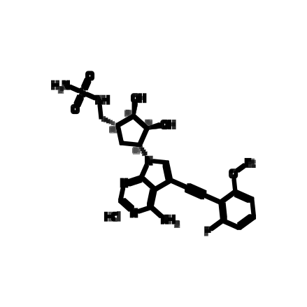 CCOc1cccc(F)c1C#Cc1cn([C@@H]2C[C@H](CNS(N)(=O)=O)[C@@H](O)[C@H]2O)c2ncnc(N)c12.Cl